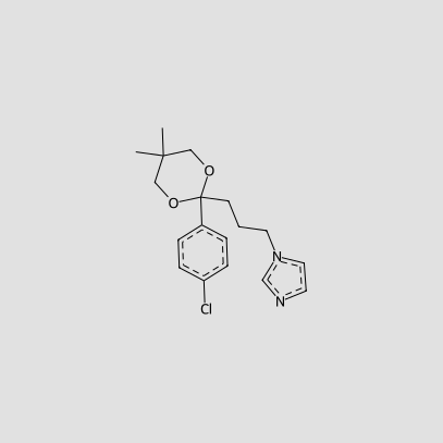 CC1(C)COC(CCCn2ccnc2)(c2ccc(Cl)cc2)OC1